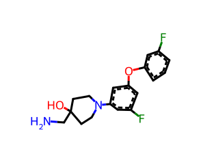 NCC1(O)CCN(c2cc(F)cc(Oc3cccc(F)c3)c2)CC1